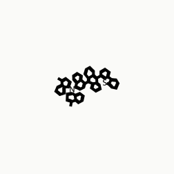 Cc1ccc(N(c2ccc(C)c3ccccc23)c2ccc(-c3c4ccccc4c(-c4cccc5c4sc4ccccc45)c4ccccc34)c3ccccc23)c2ccccc12